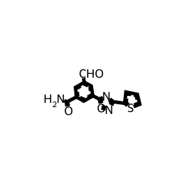 NC(=O)c1cc(C=O)cc(-c2nc(-c3cccs3)no2)c1